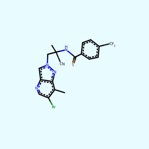 Cc1c(Br)cnc2cn(CC(C)(C#N)NC(=S)c3ccc(C(F)(F)F)cc3)nc12